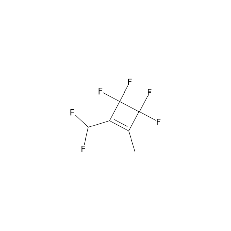 CC1=C(C(F)F)C(F)(F)C1(F)F